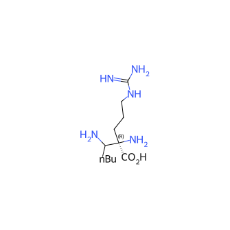 CCCCC(N)[C@](N)(CCCNC(=N)N)C(=O)O